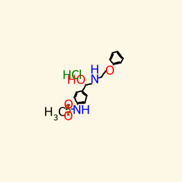 CS(=O)(=O)Nc1ccc(C(O)CNCCOc2ccccc2)cc1.Cl